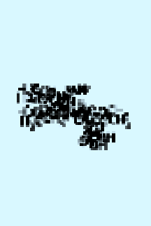 CC(C)(C)OC(=O)O[C@H]1[C@H](F)[C@H](n2cnc3c(N(C(=O)OC(C)(C)C)C(=O)OC(C)(C)C)nc(N=[N+]=[N-])nc32)O[C@@H]1COC(C(=O)O)C(=O)O